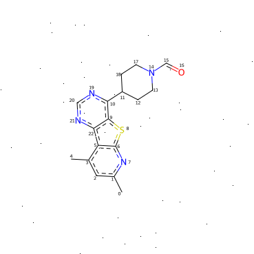 Cc1cc(C)c2c(n1)sc1c(C3CCN(C=O)CC3)ncnc12